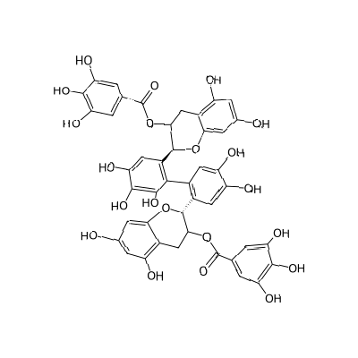 O=C(OC1Cc2c(O)cc(O)cc2O[C@@H]1c1cc(O)c(O)cc1-c1c([C@@H]2Oc3cc(O)cc(O)c3CC2OC(=O)c2cc(O)c(O)c(O)c2)cc(O)c(O)c1O)c1cc(O)c(O)c(O)c1